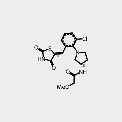 COCC(=O)N[C@H]1CCN(c2c(Cl)cccc2/C=C2\SC(=O)NC2=O)C1